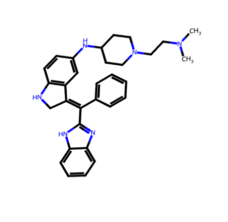 CN(C)CCN1CCC(Nc2ccc3c(c2)C(=C(c2ccccc2)c2nc4ccccc4[nH]2)CN3)CC1